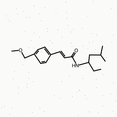 CCC(CC(C)C)NC(=O)/C=C/c1ccc(COC)cc1